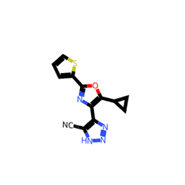 N#Cc1[nH]nnc1-c1nc(-c2cccs2)oc1C1CC1